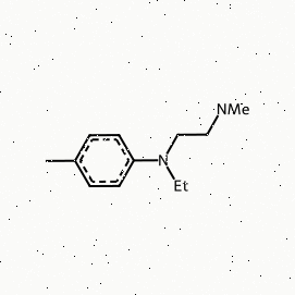 CCN(CCNC)c1ccc(C)cc1